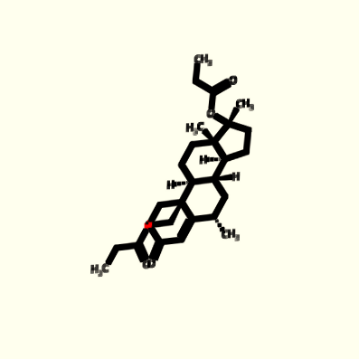 CCC(=O)OC[C@]12CCC(=O)C=C1[C@@H](C)C[C@@H]1[C@@H]2CC[C@@]2(C)[C@H]1CC[C@@]2(C)OC(=O)CC